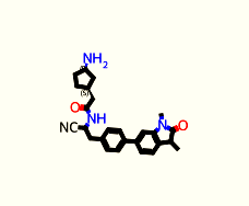 CC1C(=O)N(C)c2cc(-c3ccc(CC(C#N)NC(=O)C[C@H]4CC[C@@H](N)C4)cc3)ccc21